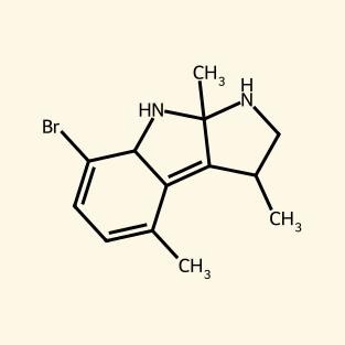 CC1=CC=C(Br)C2NC3(C)NCC(C)C3=C12